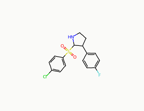 O=S(=O)(c1ccc(Cl)cc1)C1NCCC1c1ccc(F)cc1